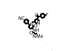 CNC(C)C(=O)Nc1ccc(-c2ccc(C#N)cc2)n(Cc2cncc(C(=O)c3ccc(F)cc3)c2)c1=O